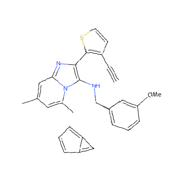 C#Cc1ccsc1-c1nc2cc(C)cc(C)n2c1NCc1cccc(OC)c1.c1cc2cc-2c1